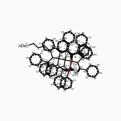 CCCCCCCCCCCCCCCC(C(C(=O)c1ccccc1)c1ccccc1)C(C(C(=O)c1ccccc1)c1ccccc1)(C(C(=O)c1ccccc1)c1ccccc1)C(OC(C)=O)(C(C(=O)c1ccccc1)c1ccccc1)C(C(=O)Cl)(C(C(=O)c1ccccc1)c1ccccc1)C(C(=O)c1ccccc1)c1ccccc1